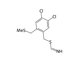 CSCc1cc(Cl)c(Cl)cc1CSC=N